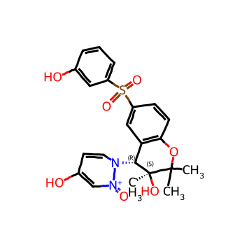 CC1(C)Oc2ccc(S(=O)(=O)c3cccc(O)c3)cc2[C@@H](n2ccc(O)c[n+]2=O)[C@]1(C)O